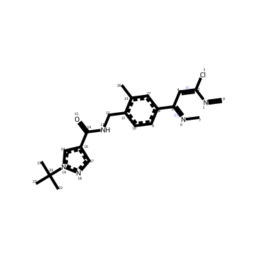 C=N/C(Cl)=C\C(=N/C)c1ccc(CNC(=O)c2cnn(C(C)(C)C)c2)c(C)c1